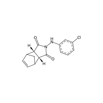 O=C1[C@@H]2C3C=CC(C3)[C@@H]2C(=O)N1Nc1cccc(Cl)c1